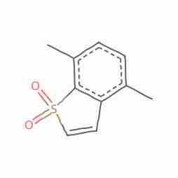 Cc1ccc(C)c2c1C=CS2(=O)=O